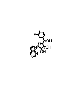 O[C@@H]1[C@H](O)[C@@H]([C@H](O)c2ccc(F)c(F)c2)O[C@H]1n1ccc2cncnc21